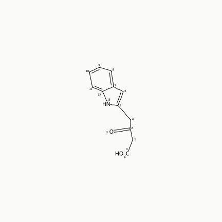 O=C(O)CC(=O)Cc1cc2ccccc2[nH]1